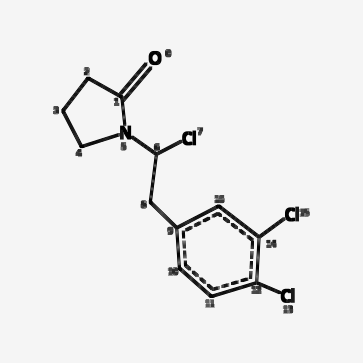 O=C1CCCN1C(Cl)Cc1ccc(Cl)c(Cl)c1